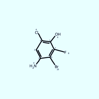 Nc1cc(Cl)c(O)c(F)c1Br